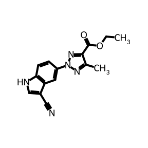 CCOC(=O)c1nn(-c2ccc3[nH]cc(C#N)c3c2)nc1C